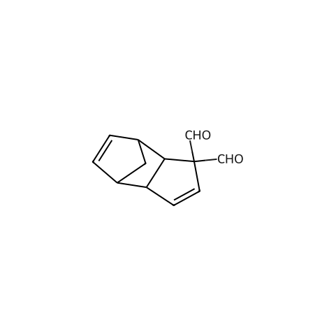 O=CC1(C=O)C=CC2C3C=CC(C3)C21